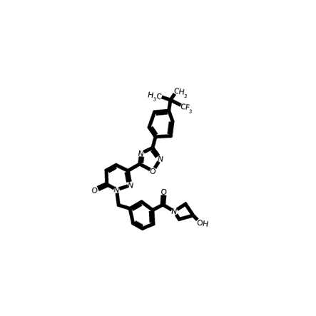 CC(C)(c1ccc(-c2noc(-c3ccc(=O)n(Cc4cccc(C(=O)N5CC(O)C5)c4)n3)n2)cc1)C(F)(F)F